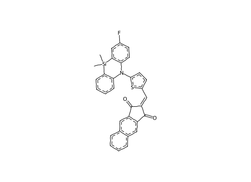 C[Si]1(C)c2ccccc2N(c2ccc(C=C3C(=O)c4cc5ccccc5cc4C3=O)s2)c2ccc(F)cc21